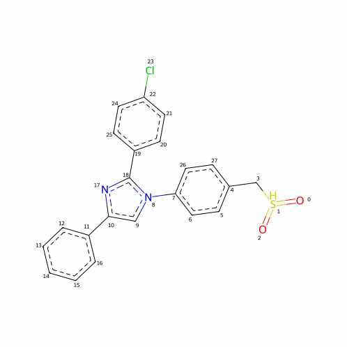 O=[SH](=O)Cc1ccc(-n2cc(-c3ccccc3)nc2-c2ccc(Cl)cc2)cc1